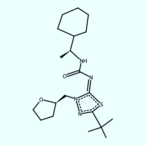 C[C@H](NC(=O)N=c1sc(C(C)(C)C)nn1C[C@H]1CCCO1)C1CCCCC1